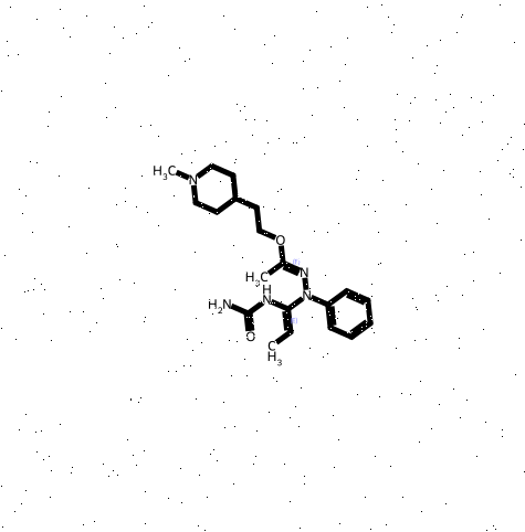 C/C=C(\NC(N)=O)N(/N=C(\C)OCCC1CCN(C)CC1)c1ccccc1